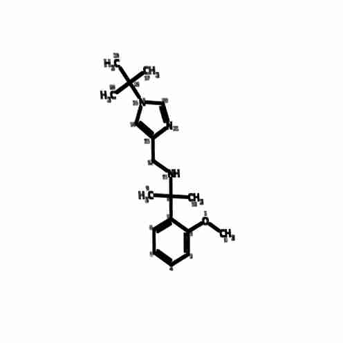 COc1ccccc1C(C)(C)NCc1cn(C(C)(C)C)cn1